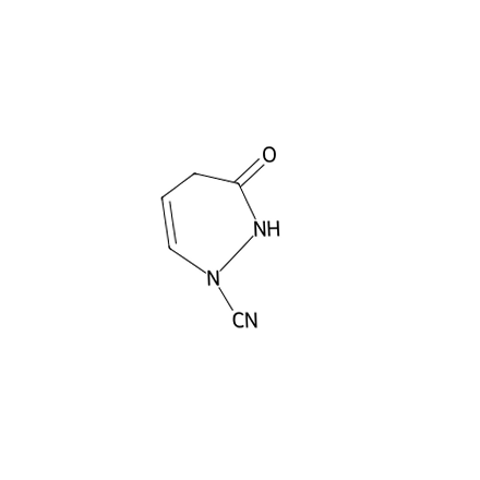 N#CN1C=CCC(=O)N1